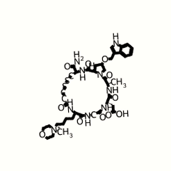 C[C@@H]1NC(=O)[C@H](CC(=O)O)NC(=O)CNC(=O)C(CCCC[N+]2(C)CCOCC2)NC(=O)CCSSCC(C(N)=O)NC(=O)[C@@H]2CC(OCc3c[nH]c4ccccc34)CN2C1=O